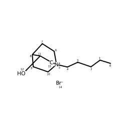 CCCCC[N+]12CCC(CC1)C(O)C2.[Br-]